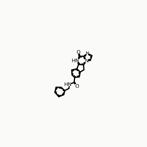 O=C(NCc1ccccc1)c1ccc2c(c1)Cc1c-2[nH]c(=O)c2nccn12